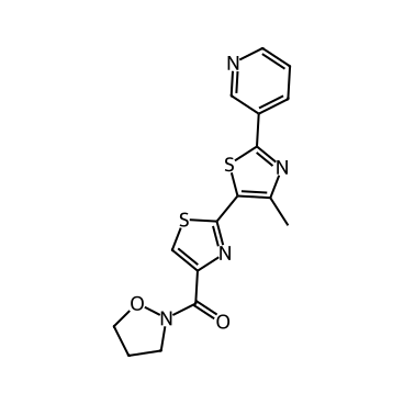 Cc1nc(-c2cccnc2)sc1-c1nc(C(=O)N2CCCO2)cs1